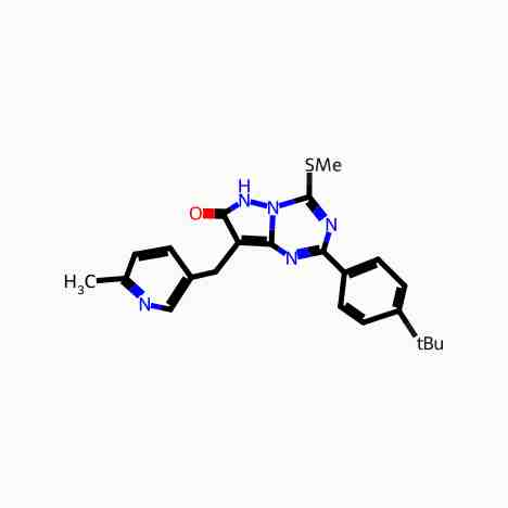 CSc1nc(-c2ccc(C(C)(C)C)cc2)nc2c(Cc3ccc(C)nc3)c(=O)[nH]n12